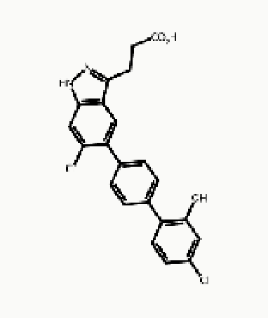 O=C(O)CCc1n[nH]c2cc(Cl)c(-c3ccc(-c4ccc(Cl)cc4O)cc3)cc12